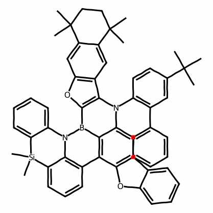 CC(C)(C)c1ccc(N2c3cc4c(oc5ccccc54)c4c3B(c3oc5cc6c(cc5c32)C(C)(C)CCC6(C)C)N2c3ccccc3[Si](C)(C)c3cccc-4c32)c(-c2ccccc2)c1